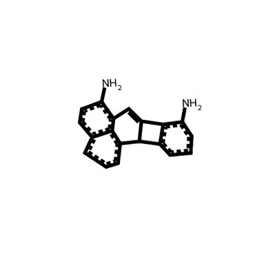 Nc1cccc2c1C1=Cc3c(N)ccc4cccc(c34)C12